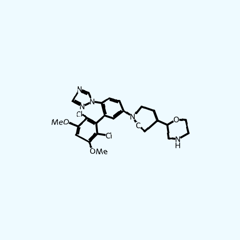 COc1cc(OC)c(Cl)c(-c2cc(N3CCC(C4CNCCO4)CC3)ccc2-n2cncn2)c1Cl